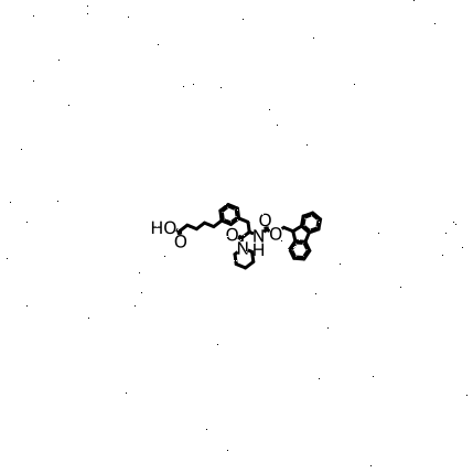 O=C(O)CCCCc1cccc(CC(NC(=O)OCC2c3ccccc3-c3ccccc32)C(=O)N2CCCCC2)c1